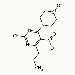 CCCc1nc(Cl)nc(N2CC[S+]([O-])CC2)c1[N+](=O)[O-]